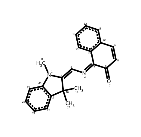 CN1/C(=C/N=C2/C(=O)C=Cc3ccccc32)C(C)(C)c2ccccc21